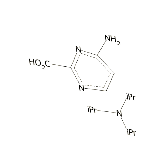 CC(C)N(C(C)C)C(C)C.Nc1ccnc(C(=O)O)n1